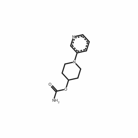 NC(=O)OC1CCN(c2cccnc2)CC1